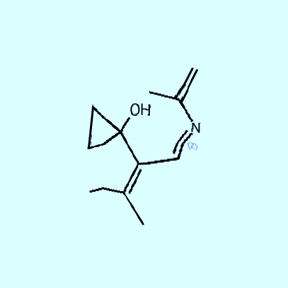 C=C(C)/N=C\C(=C(C)C)C1(O)CC1